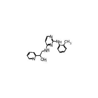 Cc1ccccc1Nc1nccc(NCC(O)c2ccccn2)n1